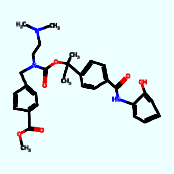 COC(=O)c1ccc(CN(CCN(C)C)C(=O)OC(C)(C)c2ccc(C(=O)Nc3ccccc3O)cc2)cc1